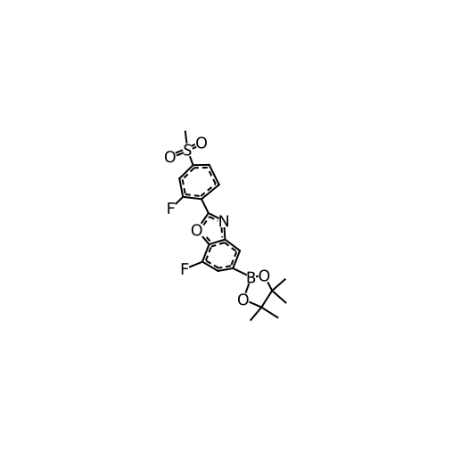 CC1(C)OB(c2cc(F)c3oc(-c4ccc(S(C)(=O)=O)cc4F)nc3c2)OC1(C)C